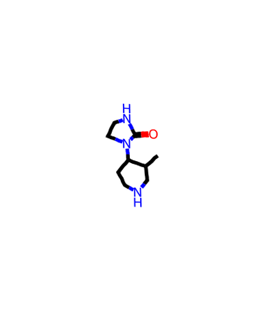 CC1CNCCC1N1CCNC1=O